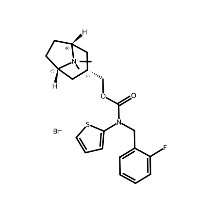 C[N+]1(C)[C@@H]2CC[C@H]1C[C@@H](COC(=O)N(Cc1ccccc1F)c1cccs1)C2.[Br-]